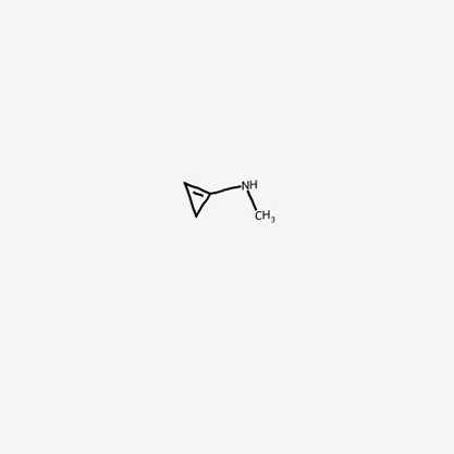 CNC1=CC1